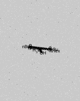 CCCCCCC(CCCC)C(=O)OCCCCCCCCCC(CCCCCCCCCOC(=O)C(CCCC)CCCCCC)N(C)CCCO